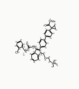 COC(=O)C1(c2ccc(-c3ccc(-c4c(NC(=O)O[C@H](C)c5ccccc5Cl)c5ccccc5n4COCC[Si](C)(C)C)cc3)cc2)CC1